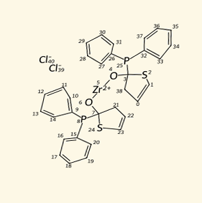 C1=CSC([O][Zr+2][O]C2(P(c3ccccc3)c3ccccc3)CC=CS2)(P(c2ccccc2)c2ccccc2)C1.[Cl-].[Cl-]